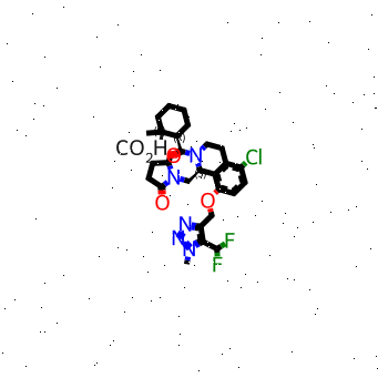 CC1CCC(=O)N1C[C@@H]1c2c(OCc3nnn(C)c3C(F)F)ccc(Cl)c2CCN1C(=O)[C@@H]1CCCC[C@]1(C)C(=O)O